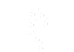 CCC(C)(Oc1ccc(C(=O)c2ccccc2)cc1)C(=O)Oc1ccc(C(C)(C)c2ccc(OC(C)C(=O)Oc3ccc(C(=O)c4ccccc4)cc3)cc2)cc1